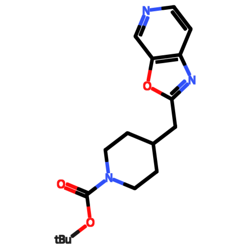 CC(C)(C)OC(=O)N1CCC(Cc2nc3ccncc3o2)CC1